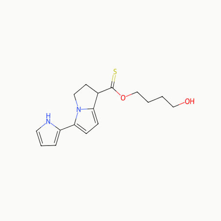 OCCCCOC(=S)C1CCn2c(-c3ccc[nH]3)ccc21